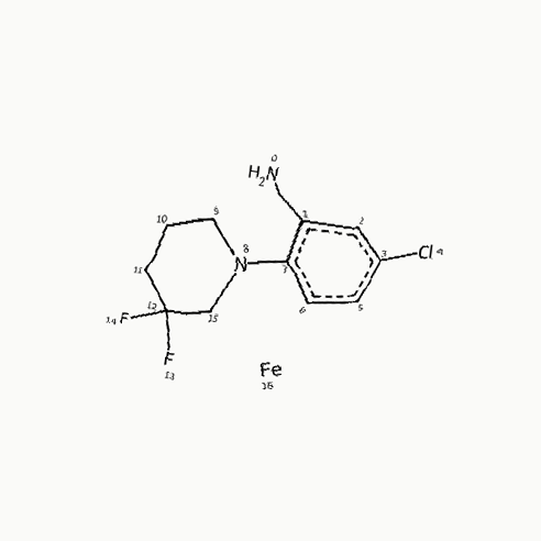 Nc1cc(Cl)ccc1N1CCCC(F)(F)C1.[Fe]